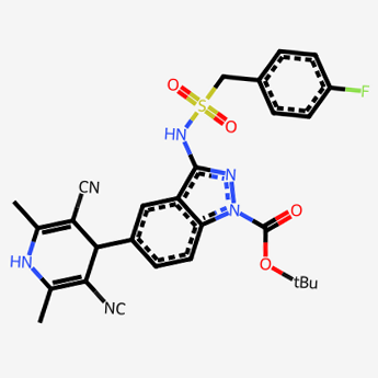 [C-]#[N+]C1=C(C)NC(C)=C(C#N)C1c1ccc2c(c1)c(NS(=O)(=O)Cc1ccc(F)cc1)nn2C(=O)OC(C)(C)C